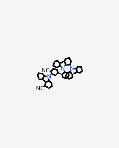 N#Cc1ccc(-c2ccccc2-n2c3ccccc3c3cccc(-n4c5ccccc5c5ccccc54)c32)cc1-n1c2ccccc2c2c(C#N)cccc21